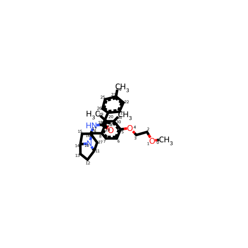 COCCOc1ccc(CN2C3CCC2CC(NC(=O)c2ccc(C)cc2)C3)c(C)c1C